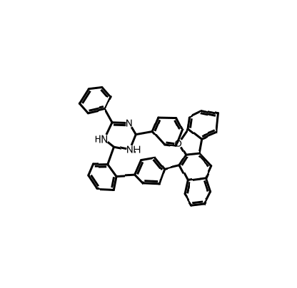 c1ccc(C2=NC(c3ccccc3)NC(c3ccccc3-c3ccc(-c4c5ccccc5cc5c4oc4ccccc45)cc3)N2)cc1